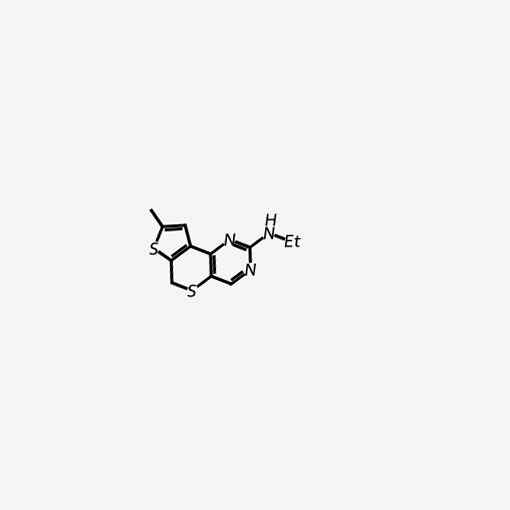 CCNc1ncc2c(n1)-c1cc(C)sc1CS2